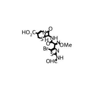 CON=C(C(=O)NC1C(=O)N2C=C(C(=O)O)CS[C@H]12)c1nc(NC=O)sc1Br